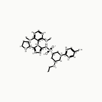 CCO[C@H]1C[C@H](S(=O)(=O)Nc2nnc([C@@H]3CCCO3)n2-c2c(OC)ncnc2OC)CN(c2ncc(F)cn2)C1